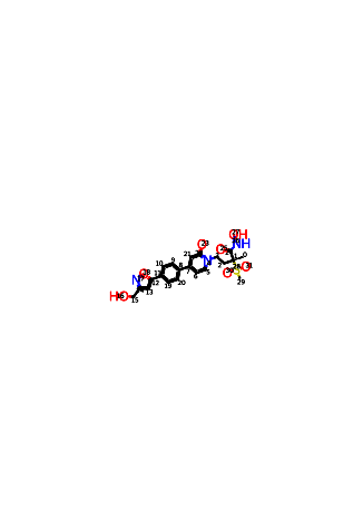 C[C@@](CCn1ccc(-c2ccc(-c3cc(CO)no3)cc2)cc1=O)(C(=O)NO)S(C)(=O)=O